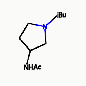 CCC(C)N1CCC(NC(C)=O)C1